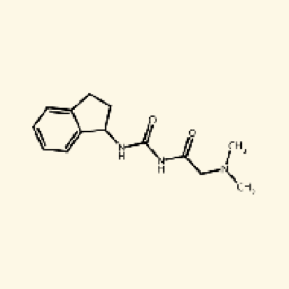 CN(C)CC(=O)NC(=O)NC1CCc2ccccc21